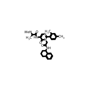 CNC(C)C(=O)Nc1cnc(-c2ccc(C)cc2C)n(CC(=O)NC2CCCc3ccccc32)c1=O